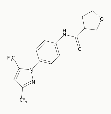 O=C(Nc1ccc(-n2nc(C(F)(F)F)cc2C(F)(F)F)cc1)C1CCOC1